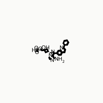 Nc1nccn2c1c(-c1ccc3ccc(C4C=CC=CC4)nc3c1)nc2[C@H]1C[C@](O)(CO[SH](=O)=O)C1